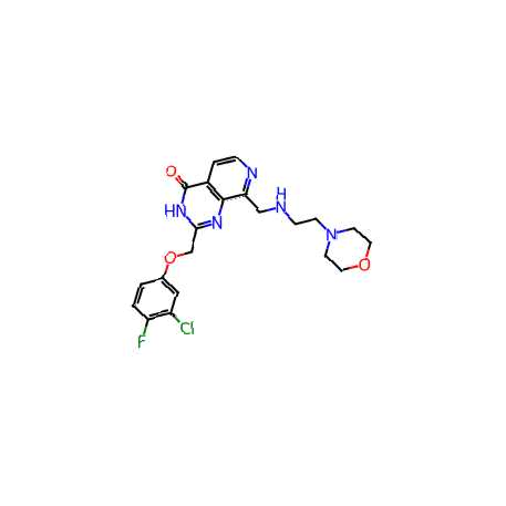 O=c1[nH]c(COc2ccc(F)c(Cl)c2)nc2c(CNCCN3CCOCC3)nccc12